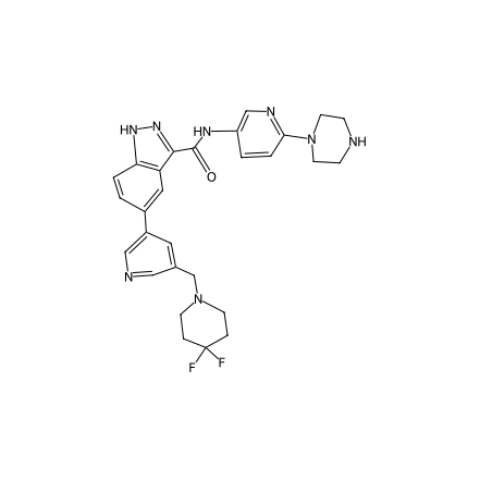 O=C(Nc1ccc(N2CCNCC2)nc1)c1n[nH]c2ccc(-c3cncc(CN4CCC(F)(F)CC4)c3)cc12